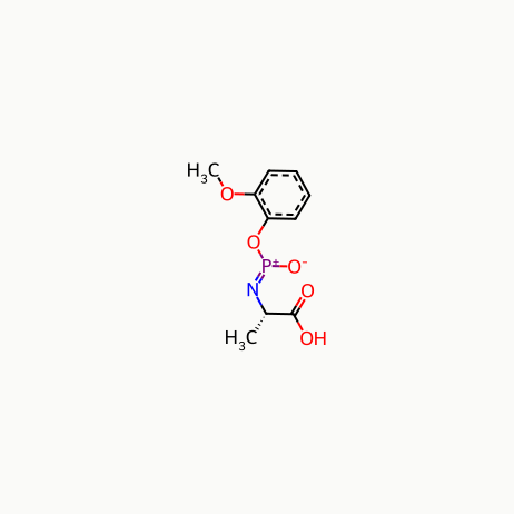 COc1ccccc1O[P+]([O-])=N[C@@H](C)C(=O)O